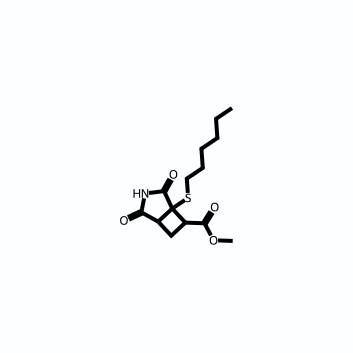 CCCCCCSC12C(=O)NC(=O)C1CC2C(=O)OC